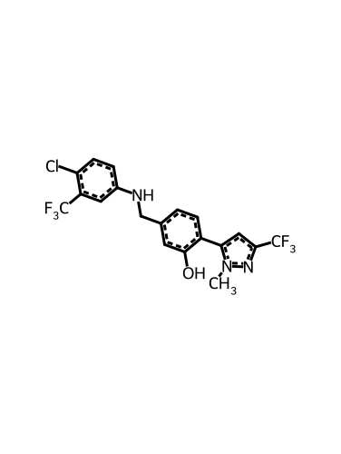 Cn1nc(C(F)(F)F)cc1-c1ccc(CNc2ccc(Cl)c(C(F)(F)F)c2)cc1O